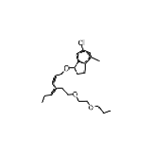 CC/C=C(\C=C/COC1CCc2c(C)cc(Cl)cc21)CCOCCOCCC